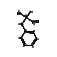 CCC(C)(C=O)Oc1ccccc1